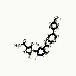 CC1=C(C(N)=O)OC(C)N1c1ccc(F)c(-c2nc3ncc(-c4cnc(C)cn4)cn3n2)c1